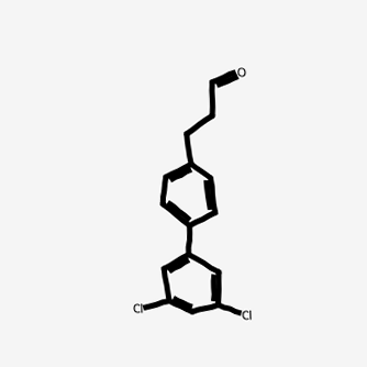 O=CCCc1ccc(-c2cc(Cl)cc(Cl)c2)cc1